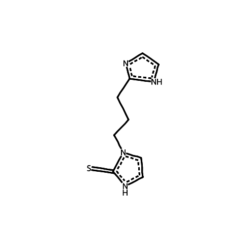 S=c1[nH]ccn1CCCc1ncc[nH]1